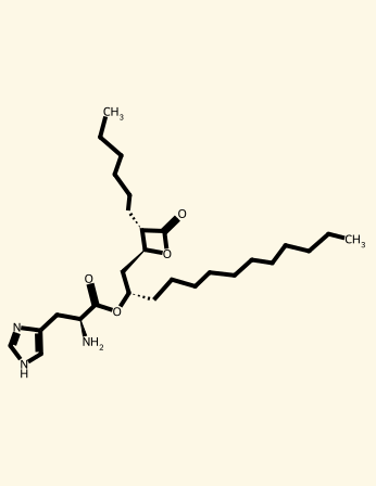 CCCCCCCCCCC[C@@H](C[C@@H]1OC(=O)[C@H]1CCCCCC)OC(=O)[C@@H](N)Cc1c[nH]cn1